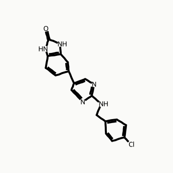 O=c1[nH]c2ccc(-c3cnc(NCc4ccc(Cl)cc4)nc3)cc2[nH]1